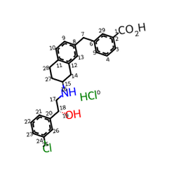 Cl.O=C(O)c1cccc(Cc2ccc3c(c2)C[C@@H](NC[C@H](O)c2cccc(Cl)c2)CC3)c1